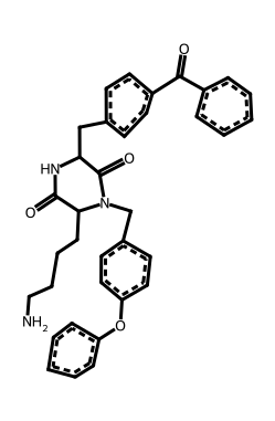 NCCCCC1C(=O)NC(Cc2ccc(C(=O)c3ccccc3)cc2)C(=O)N1Cc1ccc(Oc2ccccc2)cc1